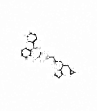 CN1C(=O)[C@@H](NC(=O)CC(O)CC(CC2CC2)c2ccco2)N=C(c2ccccc2)c2ccccc21